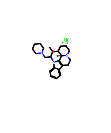 CC[C@]12CCCN3CCc4c(n(c5ccccc45)C(CN4CCCCC4)C1)[C@@H]32.Cl.Cl